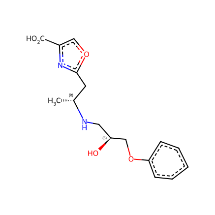 C[C@H](Cc1nc(C(=O)O)co1)NC[C@H](O)COc1ccccc1